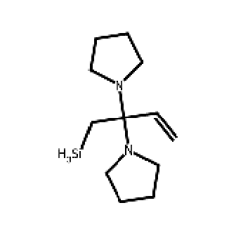 C=CC(C[SiH3])(N1CCCC1)N1CCCC1